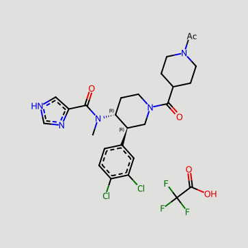 CC(=O)N1CCC(C(=O)N2CC[C@@H](N(C)C(=O)c3c[nH]cn3)[C@H](c3ccc(Cl)c(Cl)c3)C2)CC1.O=C(O)C(F)(F)F